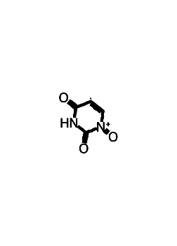 O=C1[C]=C[N+](=O)C(=O)N1